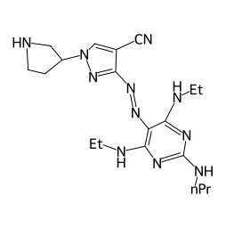 CCCNc1nc(NCC)c(N=Nc2nn(C3CCNC3)cc2C#N)c(NCC)n1